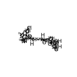 Cc1sc2c(c1C)C(c1ccc(Cl)cc1)=N[C@@H](CC(=O)NCCCCCCNC(=O)COc1cccc3c1C(=O)N(C1CCC(=O)NC1=O)C3O)c1nnc(C)n1-2